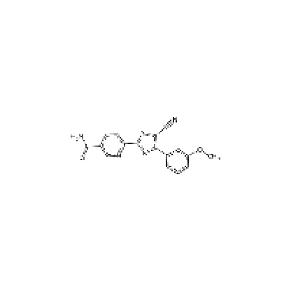 COc1cccc(-c2nc(-c3ccc(C(N)=O)cn3)sc2C#N)c1